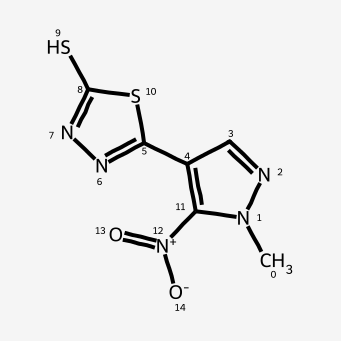 Cn1ncc(-c2nnc(S)s2)c1[N+](=O)[O-]